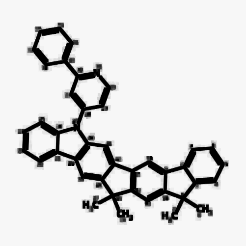 CC1(C)c2ccccc2-c2cc3c(cc21)C(C)(C)c1cc2c4ccccc4n(-c4ccnc(-c5ccccc5)c4)c2cc1-3